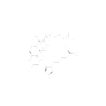 CC(C)CCC[C@@H](C)[C@H]1CC[C@H]2[C@@H]3CC=C4CC(O)CC[C@]4(C)[C@H]3CC[C@]12C.NC(=O)OCCCn1ccnc1